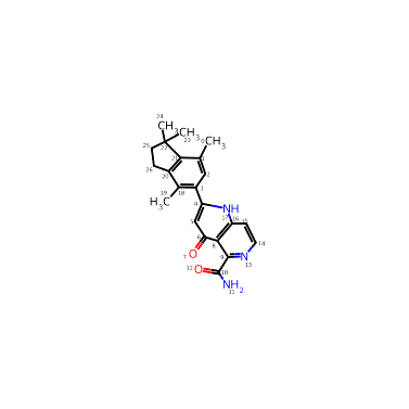 Cc1cc(-c2cc(=O)c3c(C(N)=O)nccc3[nH]2)c(C)c2c1C(C)(C)CC2